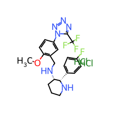 COc1ccc(-n2nnnc2C(F)(F)F)cc1CN[C@H]1CCCN[C@H]1c1ccc(F)cc1.Cl.Cl